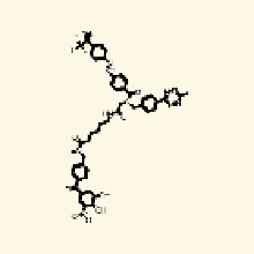 Cc1nnc(-c2ccc(CN(CC(=O)NCCCCCC(=O)N(C)Cc3ccc(C(=O)c4cc(O)c(O)c([N+](=O)[O-])c4)cc3)C(=O)c3ccc(/N=N/c4ccc(C5(C(F)(F)F)N=N5)cc4)cc3)cc2)nn1